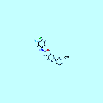 COc1cccc(C2CCC(CC(=O)Nc3ccc(Cl)c(F)c3)CC2)c1